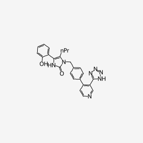 CCCc1c(-c2ccccc2O)[nH]c(=O)n1Cc1ccc(-c2ccncc2-c2nnn[nH]2)cc1